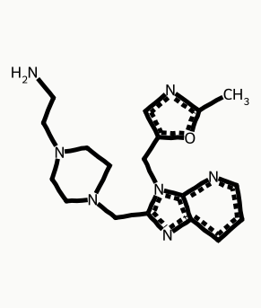 Cc1ncc(Cn2c(CN3CCN(CCN)CC3)nc3cccnc32)o1